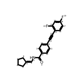 O=C(NC=C1CCCC1)c1ccc(C#Cc2ccc(F)cc2F)cc1